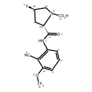 N#Cc1c(NC(=O)[C@@H]2C[C@@H](F)CN2C(=O)O)cccc1OC(F)(F)F